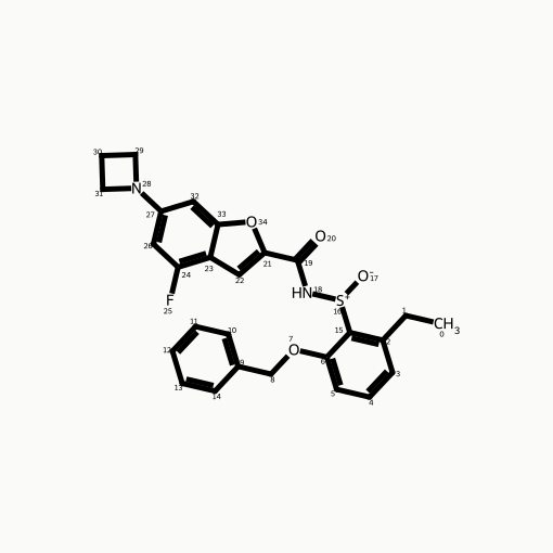 CCc1cccc(OCc2ccccc2)c1[S+]([O-])NC(=O)c1cc2c(F)cc(N3CCC3)cc2o1